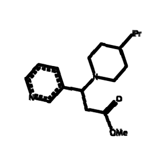 COC(=O)CC(c1cccnc1)N1CCC(C(C)C)CC1